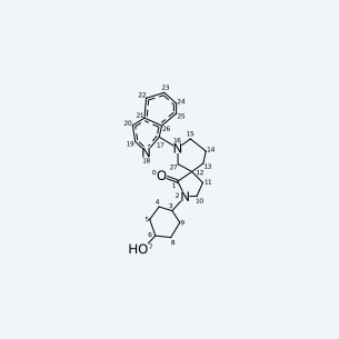 O=C1N(C2CCC(O)CC2)CCC12CCCN(c1nccc3ccccc13)C2